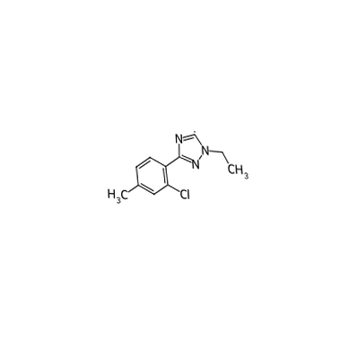 CCn1[c]nc(-c2ccc(C)cc2Cl)n1